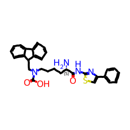 N[C@@H](CCCCN(CC1c2ccccc2-c2ccccc21)C(=O)O)C(=O)Nc1nc(-c2ccccc2)cs1